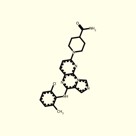 Cc1cccc(Cl)c1Nc1nc2ccc(N3CCC(C(N)=O)CC3)nc2n2cncc12